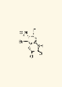 O=C1[N]c2c(cc(F)c([N+](=O)[O-])c2Br)NC1=O